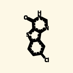 O=c1[nH]cnc2c1sc1ccc(Cl)cc12